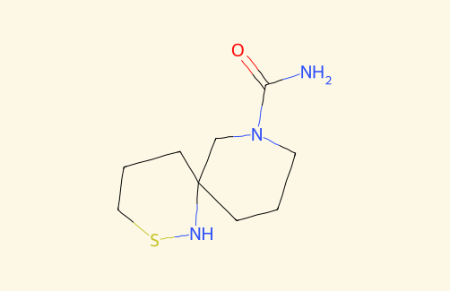 NC(=O)N1CCCC2(CCCSN2)C1